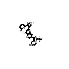 Cc1cccc(-c2n[nH]cc2-c2ccc3ncc(-c4nc(C(F)(F)F)n5c4CNCC5)cc3n2)n1